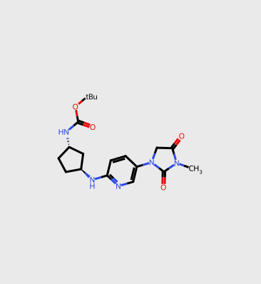 CN1C(=O)CN(c2ccc(N[C@H]3CC[C@H](NC(=O)OC(C)(C)C)C3)nc2)C1=O